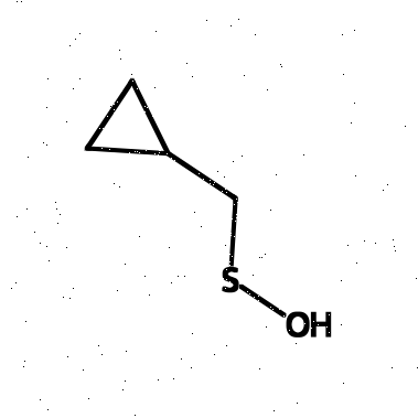 OSCC1CC1